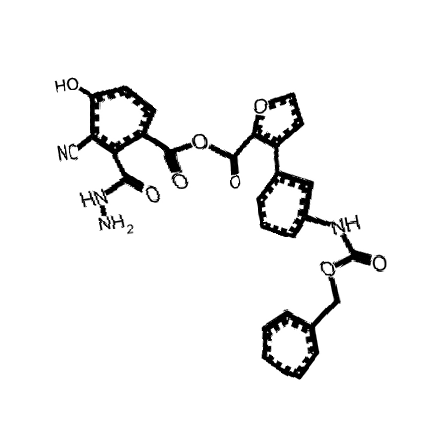 N#Cc1c(O)ccc(C(=O)OC(=O)c2occc2-c2cccc(NC(=O)OCc3ccccc3)c2)c1C(=O)NN